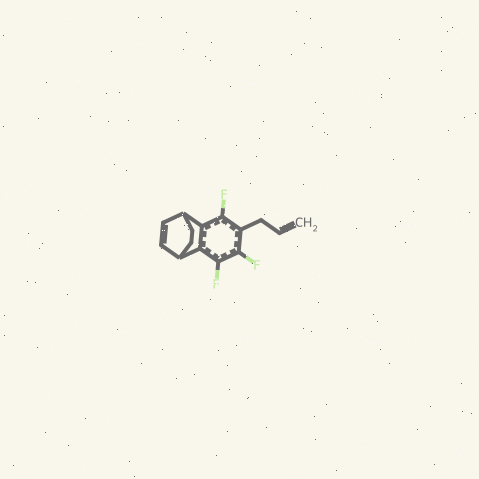 C=CCc1c(F)c(F)c2c(c1F)C1C=CC2CC1